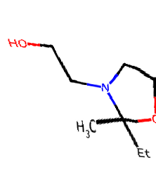 CCC1(C)OCCN1CCO